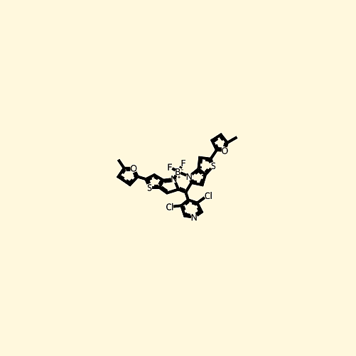 Cc1ccc(-c2cc3c(s2)=CC2=C(c4c(Cl)cncc4Cl)c4cc5sc(-c6ccc(C)o6)cc5n4[B-](F)(F)[N+]=32)o1